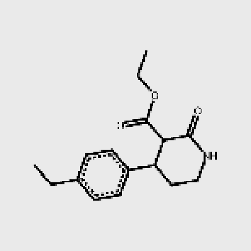 CCOC(=O)C1C(=O)NCCC1c1ccc(CC)cc1